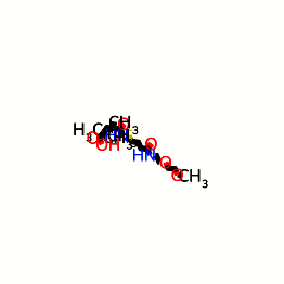 COCCOCCNC(=O)CCCSNC(=O)C(C)(C)CC(C)(C)C(=O)O